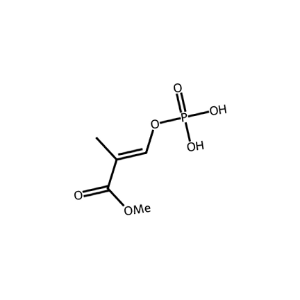 COC(=O)C(C)=COP(=O)(O)O